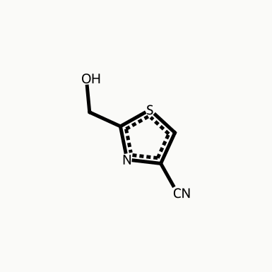 N#Cc1csc(CO)n1